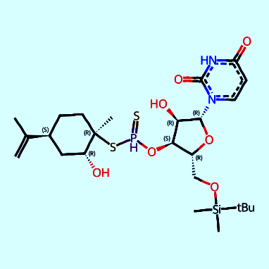 C=C(C)[C@H]1CC[C@@](C)(S[PH](=S)O[C@H]2[C@@H](O)[C@H](n3ccc(=O)[nH]c3=O)O[C@@H]2CO[Si](C)(C)C(C)(C)C)[C@H](O)C1